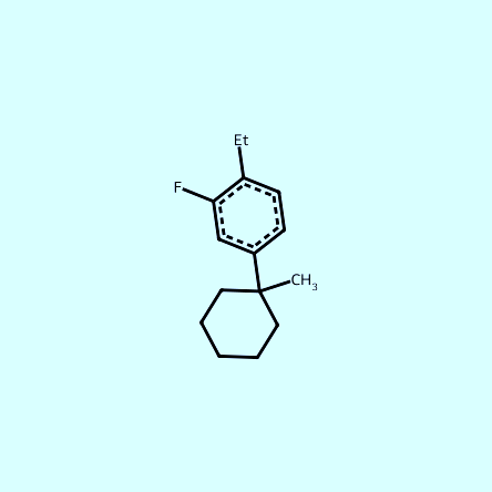 CCc1ccc(C2(C)CCCCC2)cc1F